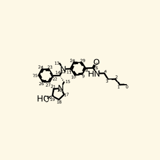 CCCCCNC(=O)c1ccc(N(C)[C@H](CN2CC[C@H](O)C2)c2ccccc2)cc1